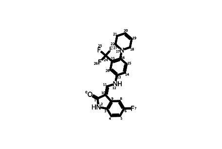 O=C1Nc2ccc(F)cc2/C1=C\Nc1ccc(N2CC=CCC2)c(C(F)(F)F)c1